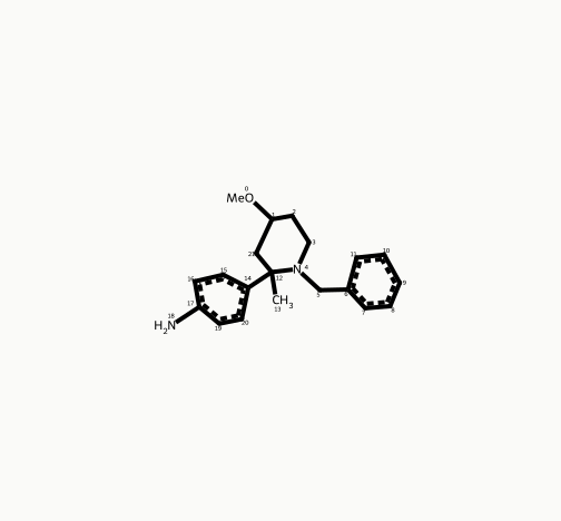 COC1CCN(Cc2ccccc2)C(C)(c2ccc(N)cc2)C1